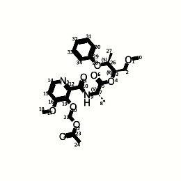 COC[C@@H](OC(=O)[C@H](C)NC(=O)c1nccc(OC)c1OCOC(C)=O)[C@H](C)Oc1ccccc1